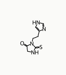 O=C1CNC(=S)N1CCc1c[nH]cn1